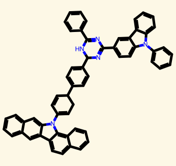 C1=CC(c2ccc(C3N=C(c4ccc5c(c4)c4ccccc4n5-c4ccccc4)N=C(c4ccccc4)N3)cc2)CC=C1n1c2cc3ccccc3cc2c2ccc3ccccc3c21